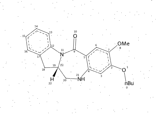 CCCCOc1cc2c(cc1OC)C(=O)N1c3ccccc3C[C@H]1CN2